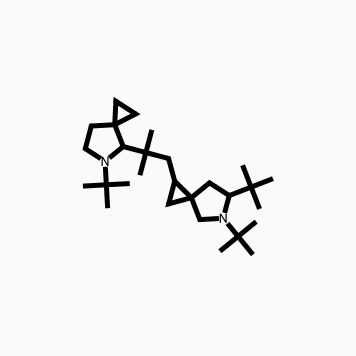 CC(C)(C)C1CC2(CC2CC(C)(C)C2N(C(C)(C)C)CCC23CC3)CN1C(C)(C)C